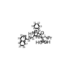 CC(C)C[C@H](NC(=O)C1(Cc2ccccc2)CC(CNCc2nccc3ccccc23)=NO1)B(O)O